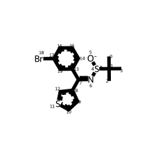 CC(C)(C)[S+]([O-])/N=C(/c1ccsc1)c1cccc(Br)c1